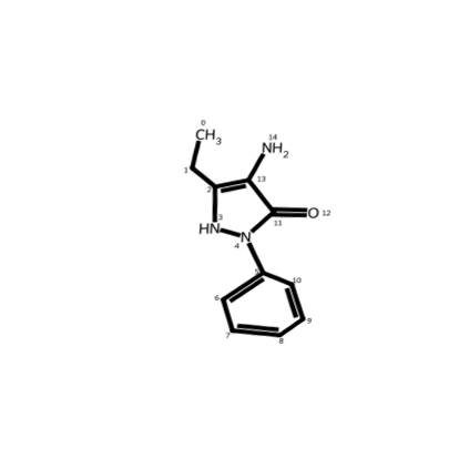 CCc1[nH]n(-c2ccccc2)c(=O)c1N